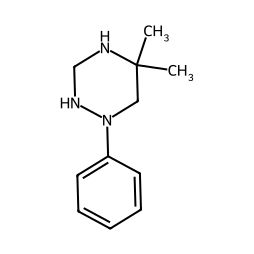 CC1(C)CN(c2ccccc2)NCN1